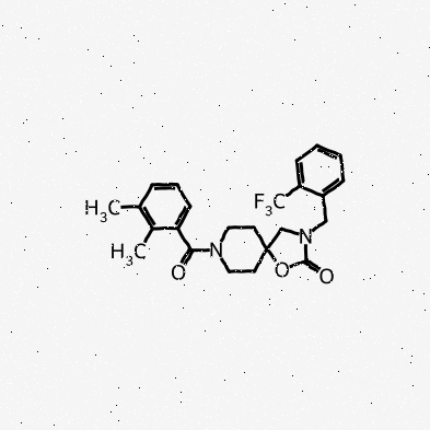 Cc1cccc(C(=O)N2CCC3(CC2)CN(Cc2ccccc2C(F)(F)F)C(=O)O3)c1C